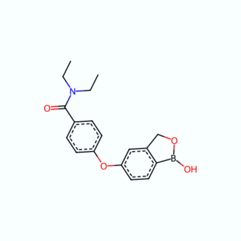 CCN(CC)C(=O)c1ccc(Oc2ccc3c(c2)COB3O)cc1